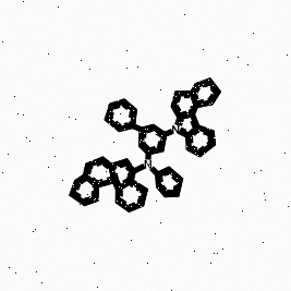 c1ccc(-c2cc(N(c3ccccc3)c3cc4ccc5ccccc5c4c4ccccc34)cc(-n3c4ccccc4c4c5ccccc5ccc43)c2)cc1